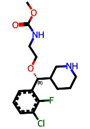 COC(=O)NCCO[C@@H](c1cccc(Cl)c1F)C1CCCNC1